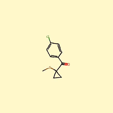 CSC1(C(=O)c2ccc(Cl)cc2)CC1